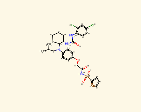 CC(C)CN(c1ccc(OCC(=O)NS(=O)(=O)c2cccs2)cc1NC(=O)Nc1ccc(Cl)cc1F)C1CCCCC1